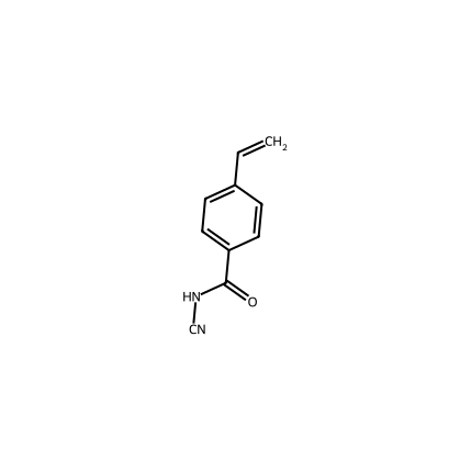 C=Cc1ccc(C(=O)NC#N)cc1